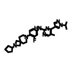 Cc1cnc(Nc2ccc(N3CCC4(CC3)CN(C3CCCC3)C4)c(F)c2)nc1-c1cnn(C(C)C)c1